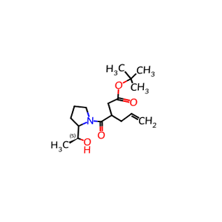 C=CCC(CC(=O)OC(C)(C)C)C(=O)N1CCCC1[C@H](C)O